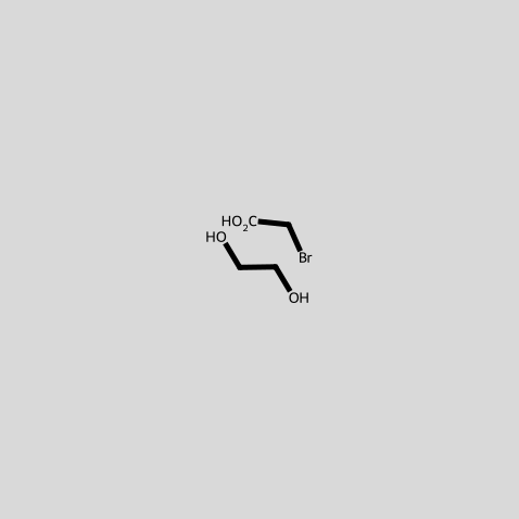 O=C(O)CBr.OCCO